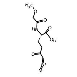 COCC(=O)N[C@@H](CCC(=O)C=[N+]=[N-])C(=O)O